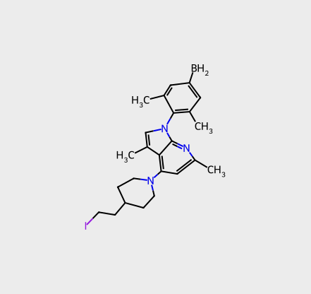 Bc1cc(C)c(-n2cc(C)c3c(N4CCC(CCI)CC4)cc(C)nc32)c(C)c1